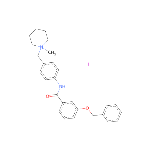 C[N+]1(Cc2ccc(NC(=O)c3cccc(OCc4ccccc4)c3)cc2)CCCCC1.[I-]